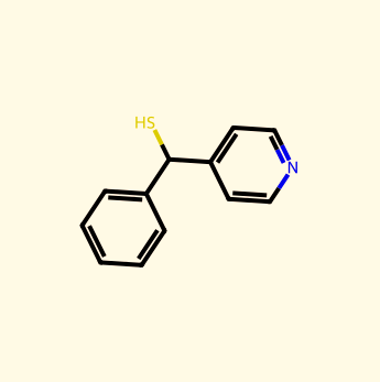 SC(c1ccccc1)c1ccncc1